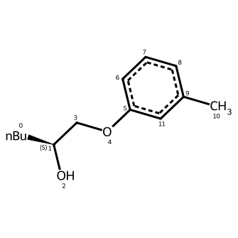 CCCC[C@H](O)COc1cccc(C)c1